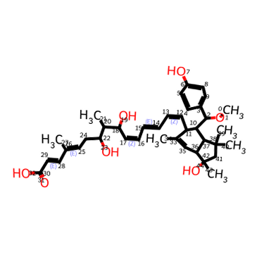 COC(c1ccc(O)cc1)C1C(\C=C/C=C/C=C\C(O)C(C)C(O)C/C=C(C)/C=C/C(=O)O)C(C)=CC2C1C(C)(C)CC2(C)O